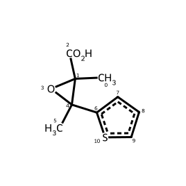 CC1(C(=O)O)OC1(C)c1cccs1